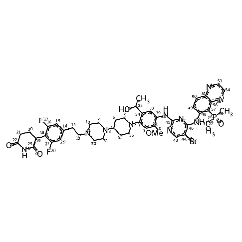 COc1cc(N2CCC(N3CCN(CCc4cc(F)c(C5CCC(=O)NC5=O)c(F)c4)CC3)CC2)c(C(C)O)cc1Nc1ncc(Br)c(Nc2ccc3nccnc3c2P(C)(C)=O)n1